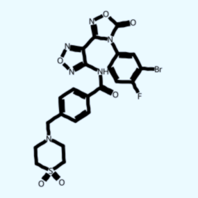 O=C(Nc1nonc1-c1noc(=O)n1-c1ccc(F)c(Br)c1)c1ccc(CN2CCS(=O)(=O)CC2)cc1